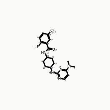 CN(C)c1ccnc(NC2CCC(NC(=O)c3cc(C(F)(F)F)ccc3F)CC2)n1